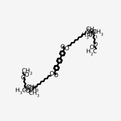 C=CC(=O)OCCCC[Si](C)(C)O[Si](C)(C)CCCCCCCCCCCOC(=O)c1ccc(-c2ccc(-c3ccc(C(=O)OCCCCCCCCCCC[Si](C)(C)O[Si](C)(C)CCCCOC(=O)C=C)cc3)cc2)cc1